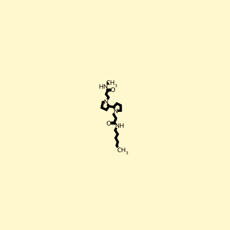 CCCCCCNC(=O)CCN1CCCC1C1CCCN1CCC(=O)NC